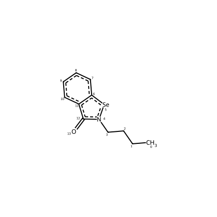 CCCCn1[se]c2ccccc2c1=O